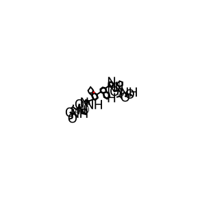 COC(=O)N[C@H](C(=O)N1CCC[C@H]1c1ncc(-c2ccc(-c3ccc(-c4cnc([C@@H]5CCCN5C(=O)[C@@H](NC(=O)OC)C(C)C)[nH]4)c4ccccc34)c3c2C2CCC3C2)[nH]1)C(C)C